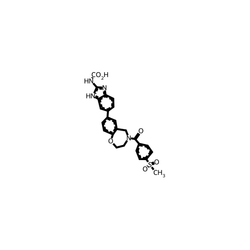 CS(=O)(=O)c1ccc(C(=O)N2CCOc3ccc(-c4ccc5nc(NC(=O)O)[nH]c5c4)cc3C2)cc1